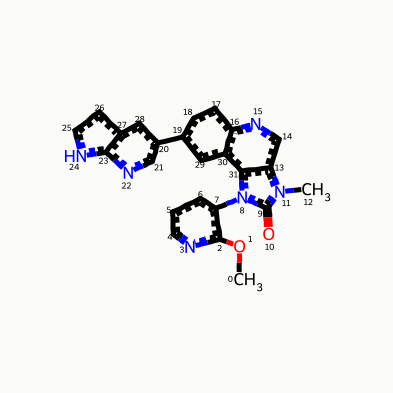 COc1ncccc1-n1c(=O)n(C)c2cnc3ccc(-c4cnc5[nH]ccc5c4)cc3c21